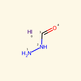 I.NNC=O